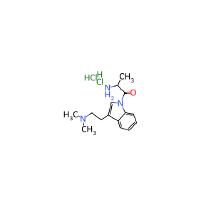 CC(N)C(=O)n1cc(CCN(C)C)c2ccccc21.Cl.Cl